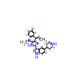 C=Nc1[nH]c(-c2n[nH]c3ccc(C4CCNCC4)cc23)nc1/C(=C\C)c1cccc(F)c1